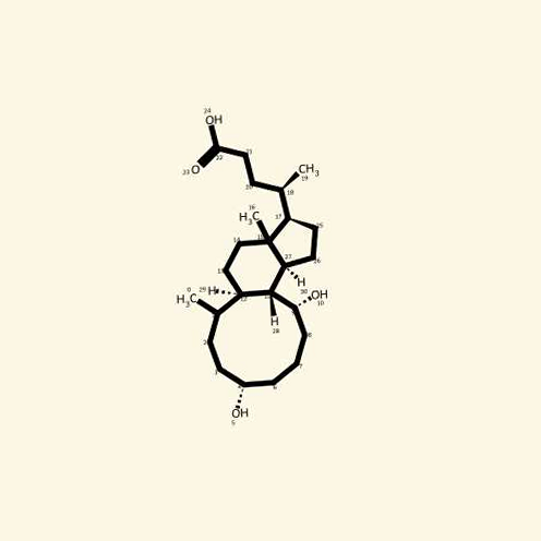 CC1CC[C@@H](O)CCC[C@@H](O)[C@@H]2[C@@H]1CCC1(C)[C@@H]([C@H](C)CCC(=O)O)CC[C@@H]21